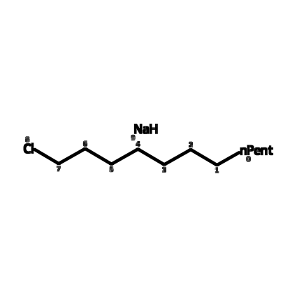 CCCCCCCCCCCCCl.[NaH]